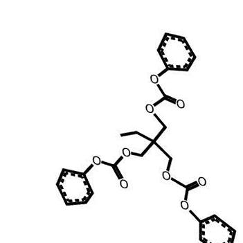 CCC(COC(=O)Oc1ccccc1)(COC(=O)Oc1ccccc1)COC(=O)Oc1ccccc1